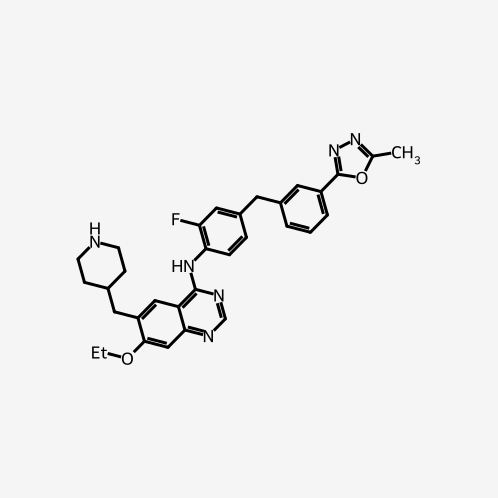 CCOc1cc2ncnc(Nc3ccc(Cc4cccc(-c5nnc(C)o5)c4)cc3F)c2cc1CC1CCNCC1